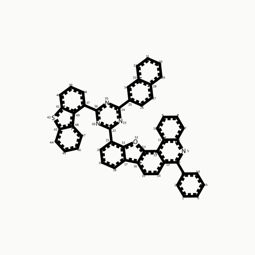 c1ccc(-c2nc3ccccc3c3c2ccc2c4cccc(-c5nc(-c6ccc7ccccc7c6)nc(-c6cccc7sc8ccccc8c67)n5)c4oc23)cc1